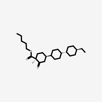 CCCCCOC(=O)[C@@]1(C)CC[C@@H](C2CCC([C@H]3CC[C@H](CC)CC3)CC2)CC1=O